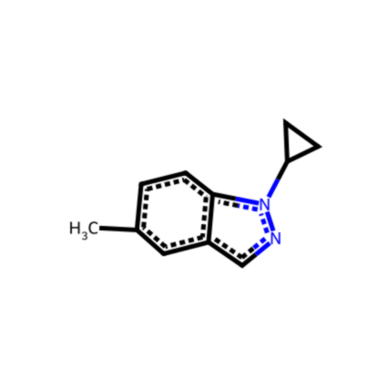 Cc1ccc2c(cnn2C2CC2)c1